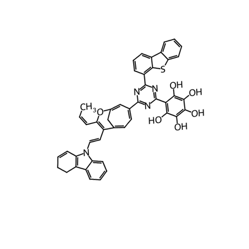 C/C=C\C1=C(/C=C/n2c3c(c4ccccc42)CCC=C3)C2=CC=C(c3nc(-c4c(O)c(O)c(O)c(O)c4O)nc(-c4cccc5c4sc4ccccc45)n3)C=C(C2)O1